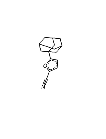 N#Cc1ccc(C23CC4CC(CC(C4)C2)C3)o1